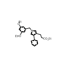 CCOC(=O)CCc1cn(Cc2cc(OCC)cc(OCC)c2)cc1-c1ccccc1